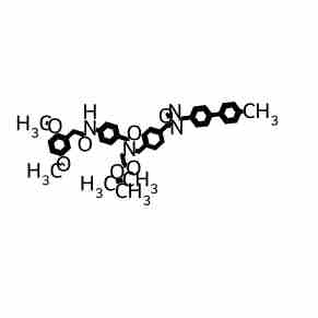 COc1ccc(OC)c(CC(=O)Nc2ccc(C(=O)N(CC(=O)OC(C)(C)C)CC3=CC=C(c4nc(-c5ccc(-c6ccc(C)cc6)cc5)no4)CC3)cc2)c1